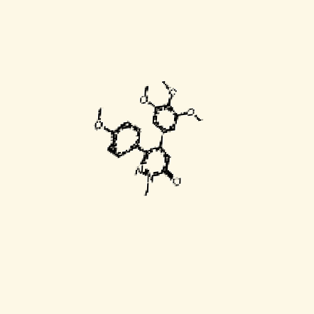 COc1ccc(-c2nn(C)c(=O)cc2-c2cc(OC)c(OC)c(OC)c2)cc1